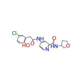 O=C(Cc1cc(Cl)ccc1O)Nc1ccnc(C(=O)NC2CCOC2)c1